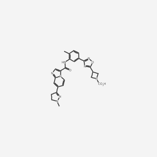 Cc1ccc(-c2noc(C3CN(C(=O)O)C3)n2)cc1NC(=O)c1cnc2cc(C3=NN(C)CC3)ccn12